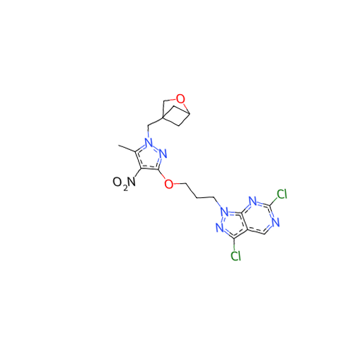 Cc1c([N+](=O)[O-])c(OCCCn2nc(Cl)c3cnc(Cl)nc32)nn1CC12COC(C1)C2